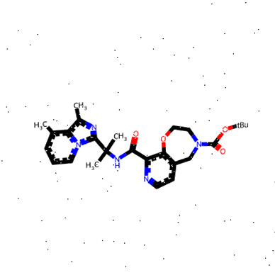 Cc1cccn2c(C(C)(C)NC(=O)c3nccc4c3OCCN(C(=O)OC(C)(C)C)C4)nc(C)c12